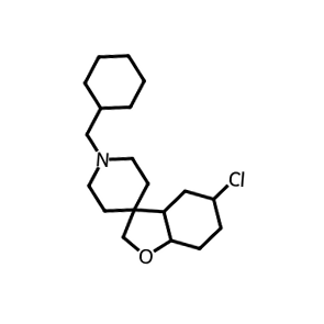 ClC1CCC2OCC3(CCN(CC4CCCCC4)CC3)C2C1